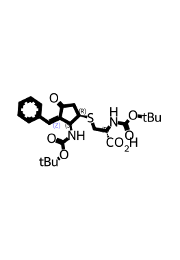 CC(C)(C)OC(=O)N[C@@H](CS[C@@H]1CC(=O)/C(=C\c2ccccc2)[C@@H]1NC(=O)OC(C)(C)C)C(=O)O